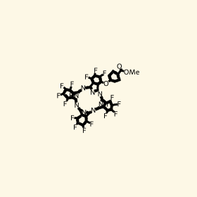 COC(=O)c1ccc(Oc2c(F)c(F)c(F)c3c2-c2nc-3nc3[nH]c(nc4nc(nc5[nH]c(n2)c2c(F)c(F)c(F)c(F)c52)-c2c(F)c(F)c(F)c(F)c2-4)c2c(F)c(F)c(F)c(F)c32)cc1